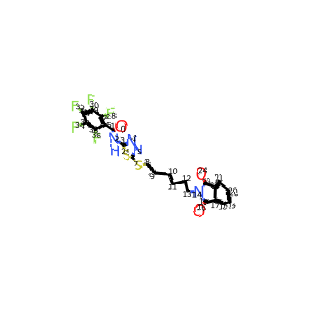 O=C(Nc1nnc(SCCCCCCN2C(=O)c3ccccc3C2=O)s1)c1c(F)c(F)c(F)c(F)c1F